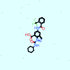 O=C(Nc1cc(C(=O)O)c2c(cnn2C(=O)NC2CCCCC2)c1)c1ccccc1C(F)(F)F